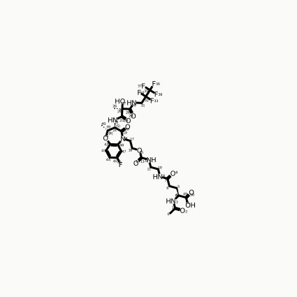 CC(=O)N[C@@H](CCC(=O)NCCNC(=O)OCCN1C(=O)[C@@H](NC(=O)[C@@](C)(O)C(=O)NCC(F)(F)C(F)(F)F)[C@@H](C)Oc2ccc(F)cc21)C(=O)O